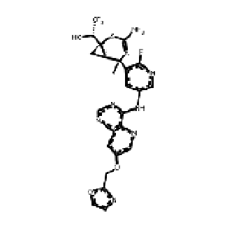 C[C@]1(c2cc(Nc3ncnc4cc(OCc5ncco5)cnc34)cnc2F)N=C(N)S[C@]2([C@H](O)C(F)(F)F)C[C@H]21